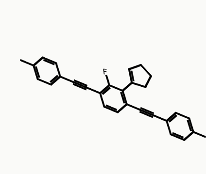 Cc1ccc(C#Cc2ccc(C#Cc3ccc(I)cc3)c(C3=CCCC3)c2F)cc1